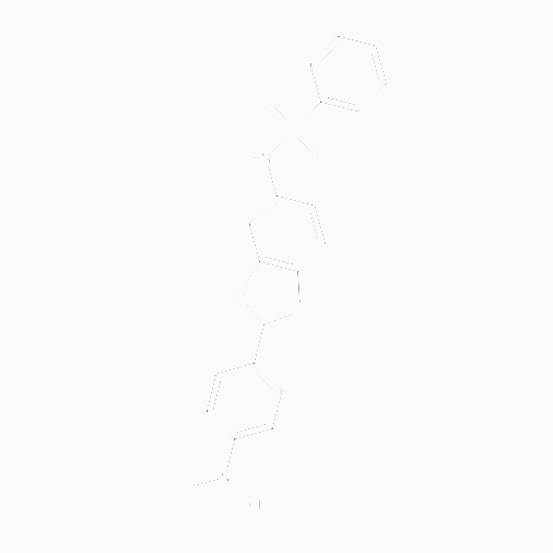 CN(C)c1ccc(C2Oc3ccc(NS(=O)(=O)c4ccccc4)cc3O2)cc1F